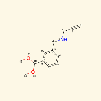 C#CCNCc1cccc(C(OC)OC)c1